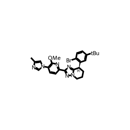 COc1nc(-c2nc3n(n2)CCC[C@@H]3c2cc(C(C)(C)C)ccc2Br)ccc1-n1cnc(C)c1